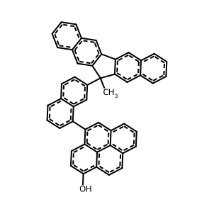 CC1(c2ccc3cccc(-c4cc5cccc6ccc7c(O)ccc4c7c65)c3c2)c2cc3ccccc3cc2-c2cc3ccccc3cc21